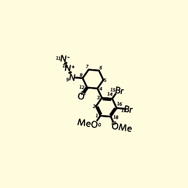 COc1cc(C2CCCC(N=[N+]=[N-])C2=O)c(Br)c(Br)c1OC